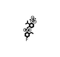 CCc1cc(F)ccc1S(=O)(=O)Cc1cccc(N(C)S(C)(=O)=O)c1C(C)C